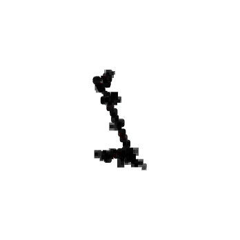 CC(C)CC(=O)N1Cc2ccccc2-c2nnn(CCCCC(N)C(=O)NCCOCCOCCOCCC(=O)NCCOCCOCCOCCC(=O)NC(CCCCN)C(=O)NC(C(=O)NC(CCCNC(N)=O)C(=O)C(C)C)C(C)C)c2-c2ccccc21